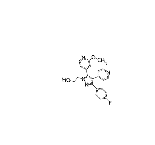 COc1cc(-c2c(-c3ccncc3)c(-c3ccc(F)cc3)nn2CCO)ccn1